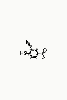 CC(=O)c1ccc(S)c(C#N)c1